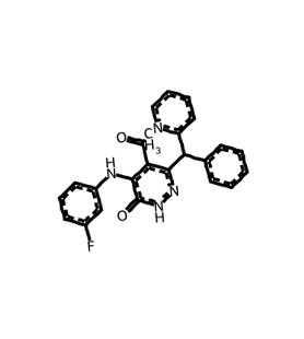 CC(=O)c1c(C(c2ccccc2)c2ccccn2)n[nH]c(=O)c1Nc1cccc(F)c1